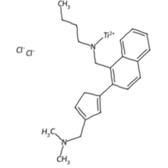 CCCC[N]([Ti+2])Cc1c(C2=CC(CN(C)C)=CC2)ccc2ccccc12.[Cl-].[Cl-]